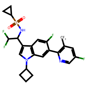 O=S(=O)(NC(c1cn(C2CCC2)c2cc(-c3ncc(F)cc3C(F)(F)F)c(F)cc12)C(F)F)C1CC1